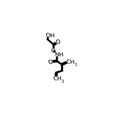 C=CCC(=C)C(=O)NOC(=O)CO